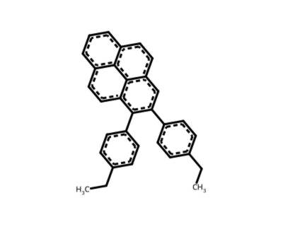 CCc1ccc(-c2cc3ccc4cccc5ccc(c2-c2ccc(CC)cc2)c3c45)cc1